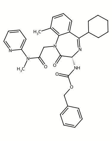 Cc1cccc2c1N(CC(=O)N(C)c1ccccn1)C(=O)[C@@H](NC(=O)OCc1ccccc1)N=C2C1CCCCC1